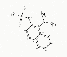 C[S+](C)c1c(OP(=O)([O-])O)ccc2ccccc12